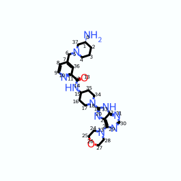 N[C@@H]1CCCN(Cc2ccnc(C(=O)NC3CCN(c4nc5c(N6CCOCC6)ncnc5[nH]4)CC3)c2)C1